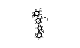 NC1CC(N2Cc3nn4c(c3C2)N=CCC4)CC[C@@H]1C1CC(F)=CC=C1F